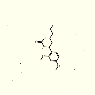 CCCCCC(CC(=O)Cl)c1ccc(OC)cc1OC